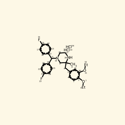 CCOc1ccc(CC2(C)CN(C(c3ccc(F)cc3)c3ccc(F)cc3)CCN2)cc1OCC.Cl.Cl